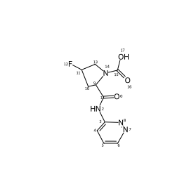 O=C(Nc1cccnn1)C1CC(F)CN1C(=O)O